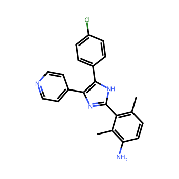 Cc1ccc(N)c(C)c1-c1nc(-c2ccncc2)c(-c2ccc(Cl)cc2)[nH]1